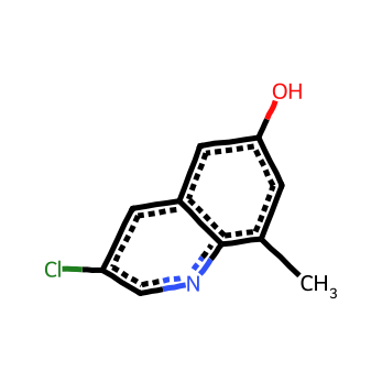 Cc1cc(O)cc2cc(Cl)cnc12